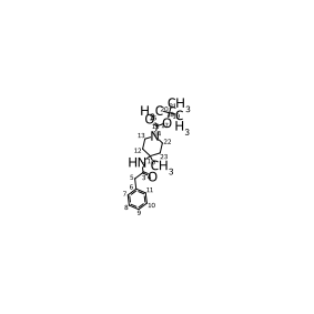 CC1(NC(=O)Cc2ccccc2)CCN(C(=O)OC(C)(C)C)CC1